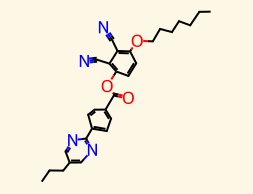 CCCCCCCOc1ccc(OC(=O)c2ccc(-c3ncc(CCC)cn3)cc2)c(C#N)c1C#N